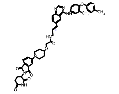 Cc1ccc(Oc2ccc(Nc3ncnc4ccc(/C=C/CNC(=O)COC5CCN(c6ccc7c(c6)C(=O)N(C6CCC(=O)NC6=O)C7=O)CC5)cc34)cc2C)cn1